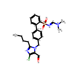 CCCCc1nc(Cl)c(C=O)n1Cc1ccc(-c2ccccc2S(=O)(=O)/N=C/N(C)C)cc1